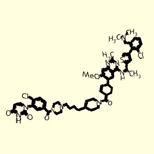 COc1cc2nc(C)nc(N[C@H](C)c3cc(-c4c(Cl)cccc4CN(C)C)cs3)c2cc1C1CCC(C(=O)N2CCC(CCCCN3CCN(C(=O)c4ccc(Cl)c(-n5ccc(=O)[nH]c5=O)c4)CC3)CC2)CC1